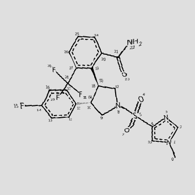 Cn1cnc(S(=O)(=O)N2C[C@H](c3ccc(F)cc3)[C@@H](c3c(C(N)=O)cccc3C(F)(F)F)C2)c1